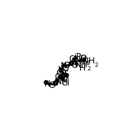 Cc1csc2c(OC(=O)N(C)CCN(C)C(=O)OCc3ccc(N(C(=O)[C@@H](N)C(C)C)[C@@H](CCCNC(N)=O)C(N)=O)cc3)cc3c(c12)[C@H](CCl)CN3C(=O)c1cc2cc(OCCN3CCCC3)ccc2[nH]1